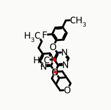 CCCc1cnc(N2CC3COCC(C2)C3Oc2ncnc(Oc3ccc(CC)cc3F)c2C)nc1